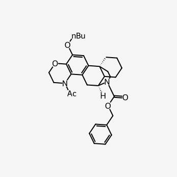 CCCCOc1cc2c(c3c1OCCN3C(C)=O)C[C@H]1C3CCCC[C@@]23CCN1C(=O)OCc1ccccc1